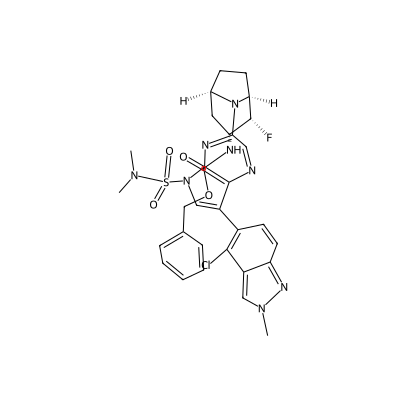 CN(C)S(=O)(=O)n1cc(-c2ccc3nn(C)cc3c2Cl)c2ncc(N3[C@@H]4CC[C@H]3[C@H](F)[C@H](NC(=O)OCc3ccccc3)C4)nc21